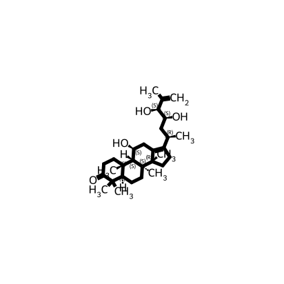 C=C(C)[C@H](O)[C@@H](O)C[C@@H](C)C1=C2C[C@H](O)[C@H]3[C@@]4(C)CCC(=O)C(C)(C)[C@@H]4CC[C@]3(C)[C@@]2(C)CC1